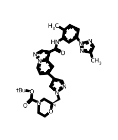 Cc1cnn(-c2ccc(C)c(NC(=O)c3cnn4ccc(-c5cnn(C[C@@H]6CN(C(=O)OC(C)(C)C)CCO6)c5)cc34)c2)n1